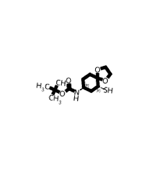 CC(C)(C)OC(=O)N[C@@H]1CCC2(OCCO2)[C@H](S)C1